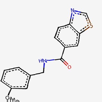 COc1cccc(CNC(=O)c2ccc3ncsc3c2)c1